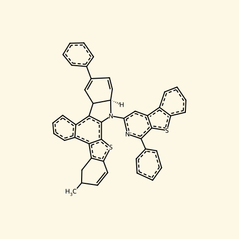 CC1C=Cc2sc3c4c(c5ccccc5c3c2C1)C1C=C(c2ccccc2)C=C[C@H]1N4c1cc2c(sc3ccccc32)c(-c2ccccc2)n1